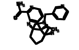 CO[C@]1(c2ccnc(C(N)=O)c2)[C@@H]2CCC[C@H]1CN(Cc1cccnc1)C2